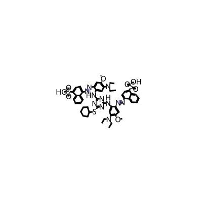 CCN(CC)c1cc(Nc2nc(Nc3cc(N(CC)CC)c(OC)cc3/N=N/c3ccc(S(=O)(=O)O)c4ccccc34)nc(SC3CCCCC3)n2)c(/N=N/c2ccc(S(=O)(=O)O)c3ccccc23)cc1OC